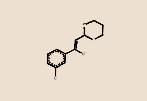 Cl/C(=C\C1SCCCS1)c1cccc(Cl)c1